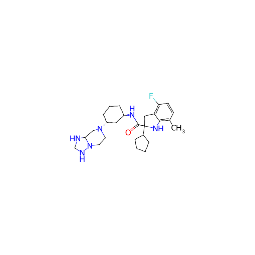 Cc1ccc(F)c2c1NC(C(=O)N[C@@H]1CCC[C@@H](N3CCN4NCNC4C3)C1)(C1CCCC1)C2